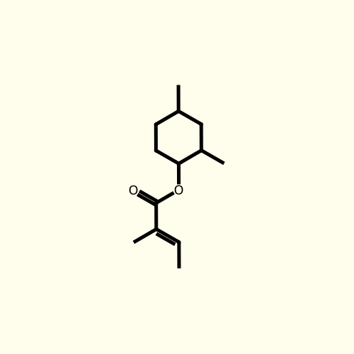 CC=C(C)C(=O)OC1CCC(C)CC1C